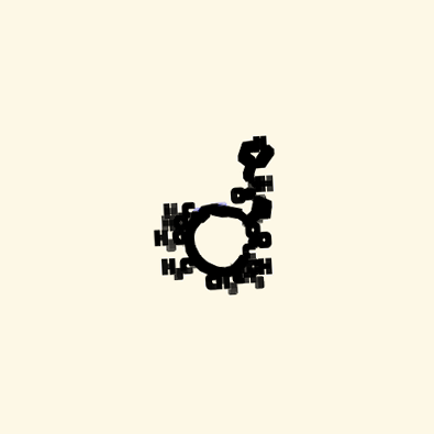 C/C1=C/C=C/C[C@@H]([C@@H]2CC[C@H]2C(=O)NCc2ccncc2)OC(=O)C[C@H](O)[C@@H](C)C[C@@H](C)C[C@@H](C)C[C@H](C)[C@H]1O